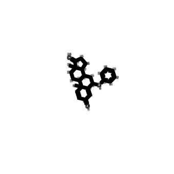 CC12C=CC(=O)C=C1C(Oc1ccccc1)CC1C2CCC2(C)C(=O)CCC12